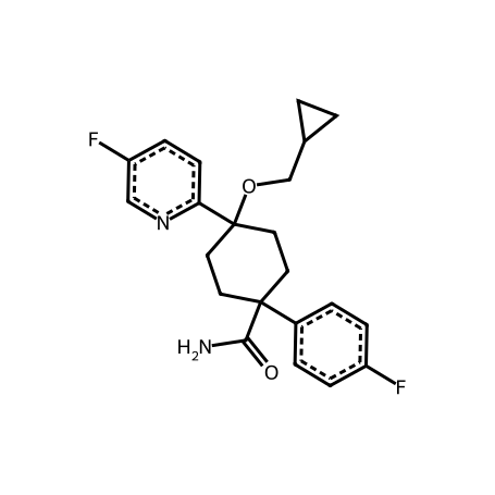 NC(=O)C1(c2ccc(F)cc2)CCC(OCC2CC2)(c2ccc(F)cn2)CC1